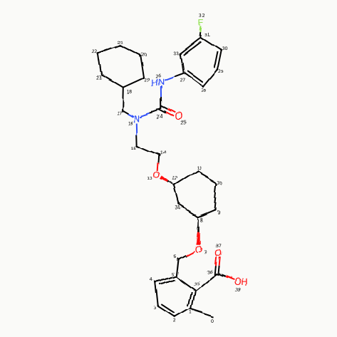 Cc1cccc(CO[C@@H]2CCC[C@H](OCCN(CC3CCCCC3)C(=O)Nc3cccc(F)c3)C2)c1C(=O)O